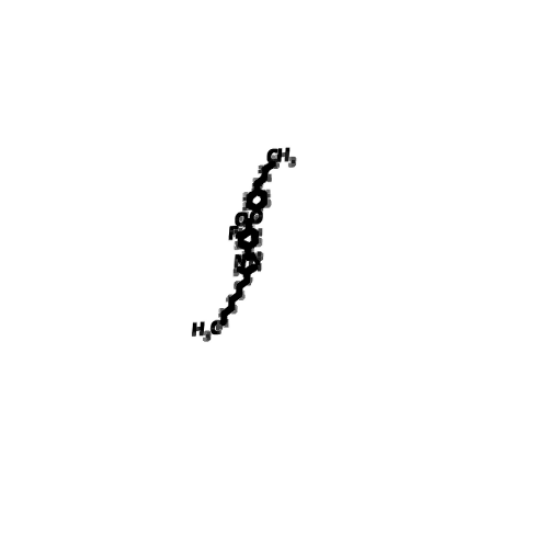 CCCCCCCCc1cnc(-c2ccc(C(=O)OC3CCC(CCCCC)CC3)c(F)c2)nc1